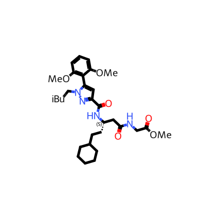 CCC(C)Cn1nc(C(=O)N[C@@H](CCC2CCCCC2)CC(=O)NCC(=O)OC)cc1-c1c(OC)cccc1OC